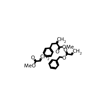 C=C(Cc1ccccc1)C(=O)OC.C=CC(=O)OC.C=CC(=O)OCc1ccccc1